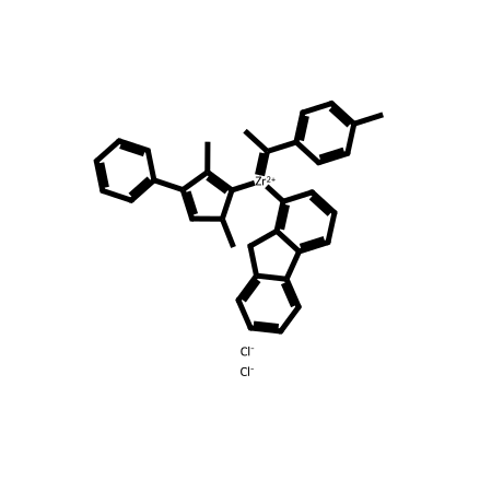 CC1=[C](/[Zr+2](=[C](\C)c2ccc(C)cc2)[c]2cccc3c2Cc2ccccc2-3)C(C)C=C1c1ccccc1.[Cl-].[Cl-]